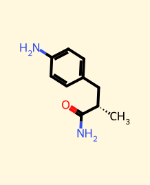 C[C@@H](Cc1ccc(N)cc1)C(N)=O